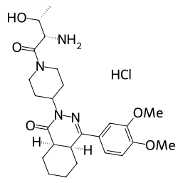 COc1ccc(C2=NN(C3CCN(C(=O)[C@@H](N)[C@@H](C)O)CC3)C(=O)[C@@H]3CCCC[C@H]23)cc1OC.Cl